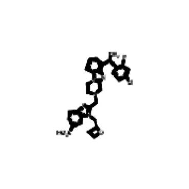 CC(c1ccc(Cl)cc1F)c1cccc2c1nc1n2CCN(Cc2nc3ccc(C(=O)O)cc3n2C[C@@H]2CCO2)C1